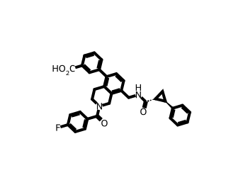 O=C(O)c1cccc(-c2ccc(CNC(=O)[C@@H]3C[C@H]3c3ccccc3)c3c2CCN(C(=O)c2ccc(F)cc2)C3)c1